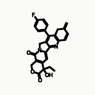 C=C1C=Cc2nc3c(c(-c4ccc(F)cc4)c2C1)Cn1c-3cc2c(c1=O)COC(=O)C2(O)CC